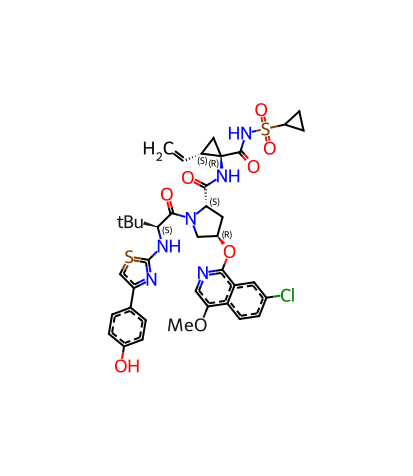 C=C[C@@H]1C[C@]1(NC(=O)[C@@H]1C[C@@H](Oc2ncc(OC)c3ccc(Cl)cc23)CN1C(=O)[C@@H](Nc1nc(-c2ccc(O)cc2)cs1)C(C)(C)C)C(=O)NS(=O)(=O)C1CC1